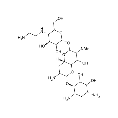 CNC1C(O[C@H]2OC(CO)[C@@H](NCCN)[C@H](O)C2O)O[C@H]2CC(N)[C@@H](O[C@@H]3C(N)C[C@@H](N)C(O)[C@H]3O)OC2C1O